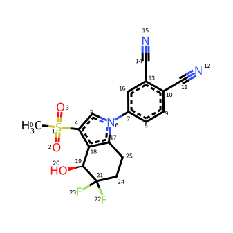 CS(=O)(=O)c1cn(-c2ccc(C#N)c(C#N)c2)c2c1[C@H](O)C(F)(F)CC2